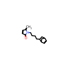 C=C1C=CC(=O)N1CCCCC1CC2C=CC1C2